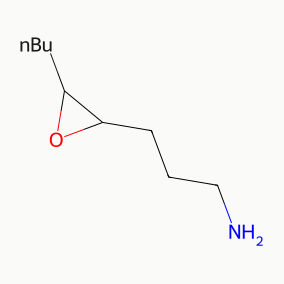 CCCCC1OC1CCCN